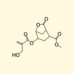 C=C(CO)C(=O)OC1CC(C(=O)OC)C2CC1OC2=O